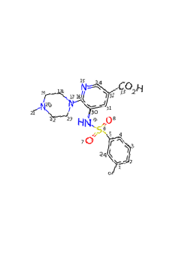 Cc1cccc(S(=O)(=O)Nc2cc(C(=O)O)cnc2N2CCN(C)CC2)c1